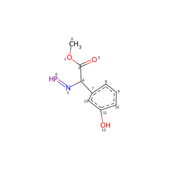 COC(=O)C(N=P)c1cccc(O)c1